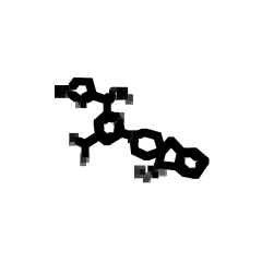 C=C(C1=NNCC1)c1cc(C(F)F)cc(N2CCC3(CC2)Cc2ccccc2[C@H]3N)n1